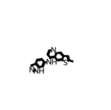 Cc1cc2cc3nccc(Nc4ccc5cn[nH]c5c4)c3cc2s1